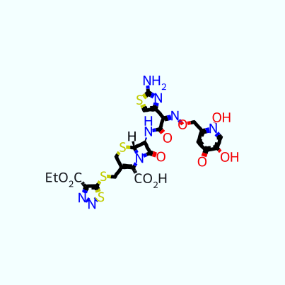 CCOC(=O)c1nnsc1SCC1=C(C(=O)O)N2C(=O)[C@@H](NC(=O)/C(=N\OCc3cc(=O)c(O)cn3O)c3csc(N)n3)[C@H]2SC1